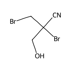 N#CC(Br)(CO)CBr